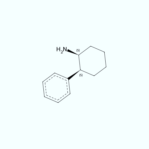 N[C@H]1CCCC[C@H]1c1ccccc1